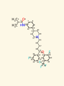 CC(C)C(=O)Nc1cccc(C2CCN(CCCCC(Oc3cc(C(F)(F)F)ccc3F)c3cccc(F)c3)CC2)c1